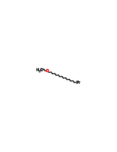 C=CCOCCCCCCCCCCCCCCCC(C)C